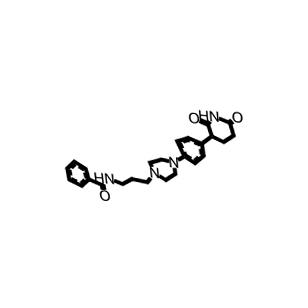 O=C1CCC(c2ccc(N3CCN(CCCNC(=O)c4ccccc4)CC3)cc2)C(=O)N1